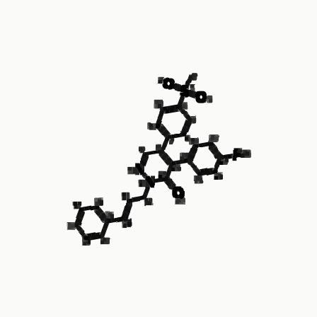 CS(=O)(=O)c1ccc(-c2cnn(CC=Cc3ccccc3)c(=O)c2-c2ccc(F)cc2)cc1